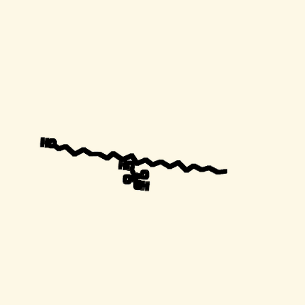 CCCCCCCCCCCCCCCCCCCCCCO.O=S(=O)(O)O